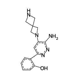 Nc1nnc(-c2ccccc2O)cc1N1CC2(CNC2)C1